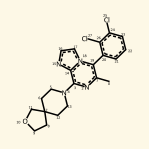 Cc1nc(N2CCC3(CCOC3)CC2)c2nccn2c1-c1cccc(Cl)c1Cl